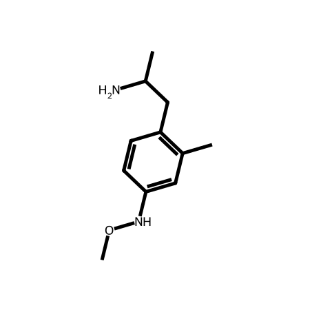 CONc1ccc(CC(C)N)c(C)c1